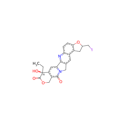 CC[C@@]1(O)C(=O)OCc2c1cc1n(c2=O)Cc2cc3c4c(ccc3nc2-1)OC(CI)C4